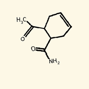 CC(=O)C1CC=CCC1C(N)=O